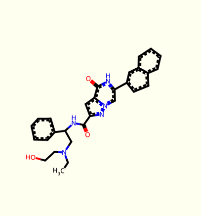 CCN(CCO)CC(NC(=O)c1cc2c(=O)[nH]c(-c3ccc4ccccc4c3)cn2n1)c1ccccc1